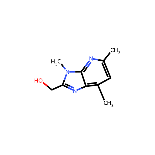 Cc1cc(C)c2nc(CO)n(C)c2n1